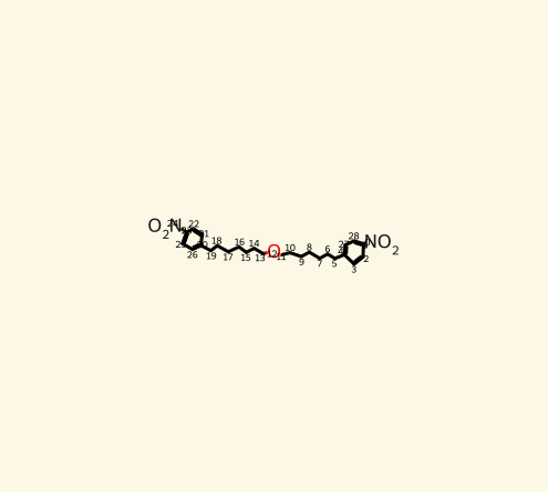 O=[N+]([O-])c1ccc(CCCCCCCOCCCCCCCc2ccc([N+](=O)[O-])cc2)cc1